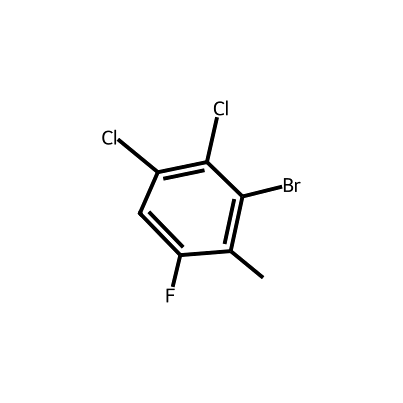 Cc1c(F)cc(Cl)c(Cl)c1Br